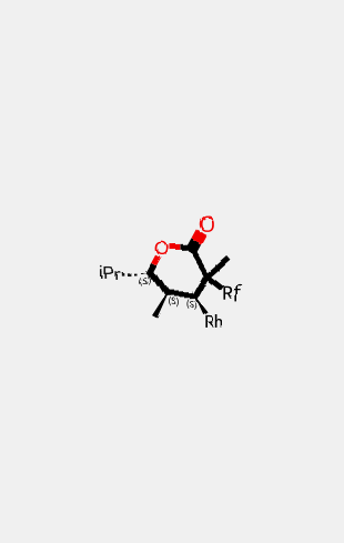 CC(C)[C@@H]1OC(=O)[C](C)([Rf])[C@@H]([Rh])[C@H]1C